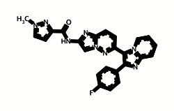 Cn1ccc(C(=O)Nc2cn3nc(-c4c(-c5ccc(F)cc5)nc5ccccn45)ccc3n2)n1